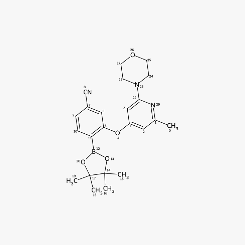 Cc1cc(Oc2cc(C#N)ccc2B2OC(C)(C)C(C)(C)O2)cc(N2CCOCC2)n1